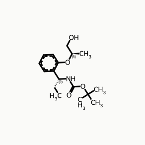 CC[C@@H](NC(=O)OC(C)(C)C)c1ccccc1O[C@H](C)CO